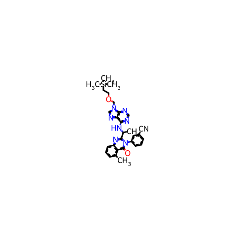 Cc1cccc2nc(C(C)Nc3ncnc4c3ncn4COCC[Si](C)(C)C)n(-c3cccc(C#N)c3)c(=O)c12